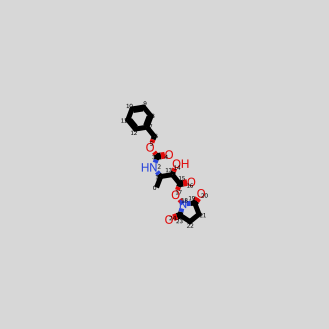 CC(NC(=O)OCc1ccccc1)C(O)C(=O)ON1C(=O)CCC1=O